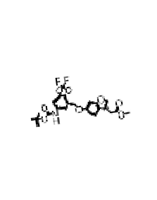 COC(=O)C[C@@H]1COc2cc(OCc3cc(NC(=O)OC(C)(C)C)cc4c3OC(F)(F)O4)ccc21